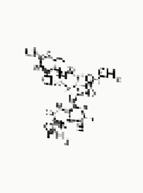 CCOC(=O)C1(COc2ccc(F)c3nc(OC)ccc23)CCN(c2ccc(Cl)cc2Cl)CC1